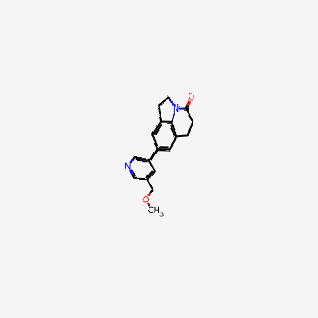 COCc1cncc(-c2cc3c4c(c2)CCN4C(=O)CC3)c1